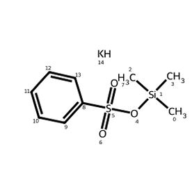 C[Si](C)(C)OS(=O)(=O)c1ccccc1.[KH]